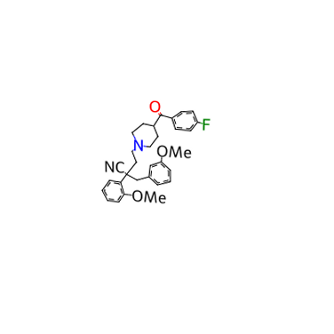 COc1cccc(CC(C#N)(CCN2CCC(C(=O)c3ccc(F)cc3)CC2)c2ccccc2OC)c1